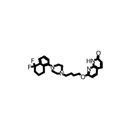 O=c1ccc2ccc(OCCCCN3CCN(c4cccc5c4CCCC5(F)F)CC3)nc2[nH]1